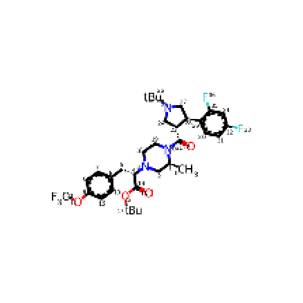 C[C@H]1CN([C@@H](Cc2ccc(OC(F)(F)F)cc2)C(=O)OC(C)(C)C)CCN1C(=O)[C@@H]1CN(C(C)(C)C)C[C@H]1c1ccc(F)cc1F